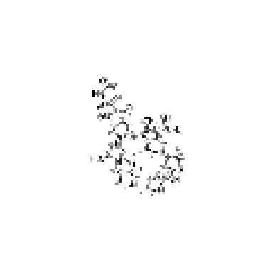 Cc1nc2c(F)cc(-c3nc(Nc4ccc(CN5CCC(CN6C(C)CN(c7cc8c(cc7F)C(=O)N(C7CCC(=O)NC7=O)C8=O)CC6C)CC5)cn4)ncc3F)cc2n1C(C)C